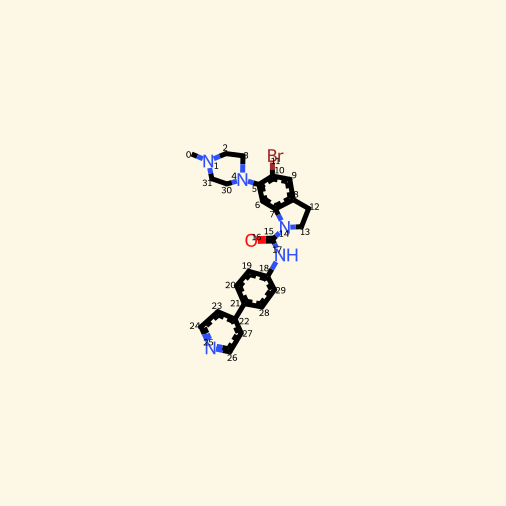 CN1CCN(c2cc3c(cc2Br)CCN3C(=O)Nc2ccc(-c3ccncc3)cc2)CC1